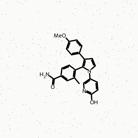 COc1ccc(-c2ccn(-c3ccc(O)nc3)c2-c2ccc(C(N)=O)cc2C)cc1